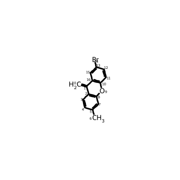 C=C1c2ccc(C)cc2Oc2ccc(Br)cc21